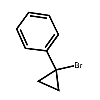 BrC1(c2ccccc2)CC1